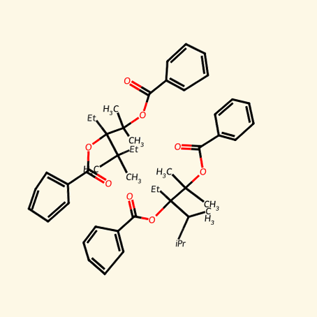 CCC(C)(C)C(CC)(OC(=O)c1ccccc1)C(C)(C)OC(=O)c1ccccc1.CCC(OC(=O)c1ccccc1)(C(C)C(C)C)C(C)(C)OC(=O)c1ccccc1